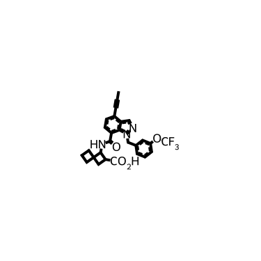 CC#Cc1ccc(C(=O)NC2C(C(=O)O)CC23CCC3)c2c1cnn2Cc1cccc(OC(F)(F)F)c1